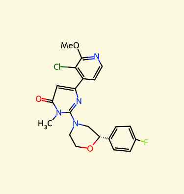 COc1nccc(-c2cc(=O)n(C)c(N3CCO[C@@H](c4ccc(F)cc4)C3)n2)c1Cl